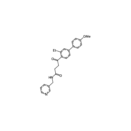 CCc1cc(-c2ccc(OC)cc2)ccc1C(=O)CCC(=O)NCc1cccnc1